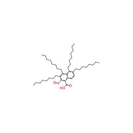 CCCCCCCCc1ccc2c(C(=O)O)c(I=O)c(CCCCCCCC)c(CCCCCCCC)c2c1CCCCCCCC